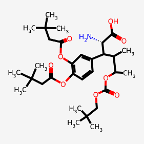 CC(OC(=O)OCC(C)(C)C)C(C)C(c1ccc(OC(=O)CC(C)(C)C)c(OC(=O)CC(C)(C)C)c1)[C@H](N)C(=O)O